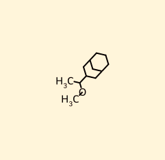 COC(C)C1CC2CCCC(C2)C1